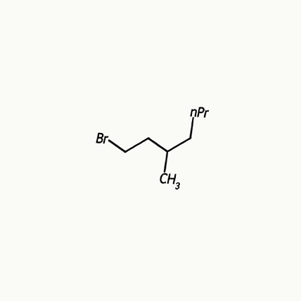 CCCCC(C)CCBr